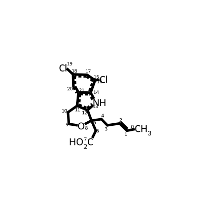 CC=CCCC1(CC(=O)O)OCCc2c1[nH]c1c(Cl)cc(Cl)cc21